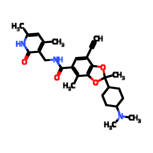 C#Cc1cc(C(=O)NCc2c(C)cc(C)[nH]c2=O)c(C)c2c1OC(C)(C1CCC(N(C)C)CC1)O2